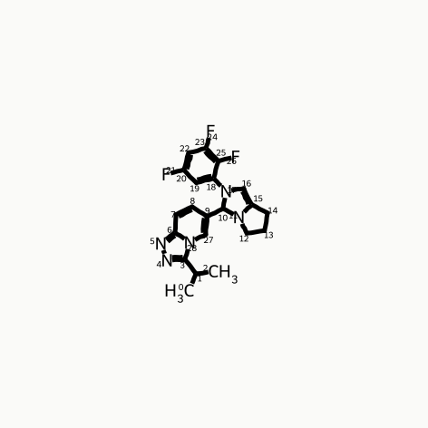 CC(C)c1nnc2ccc(C3N4CCCC4=CN3c3cc(F)cc(F)c3F)cn12